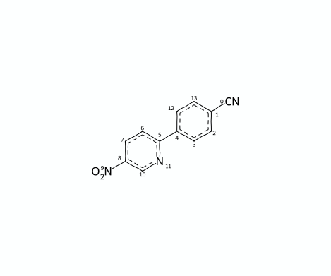 N#Cc1ccc(-c2ccc([N+](=O)[O-])cn2)cc1